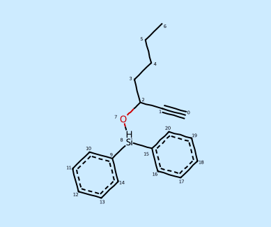 C#CC(CCCC)O[SiH](c1ccccc1)c1ccccc1